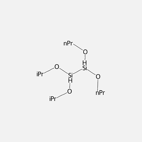 CCCO[SiH](OCCC)[SiH](OC(C)C)OC(C)C